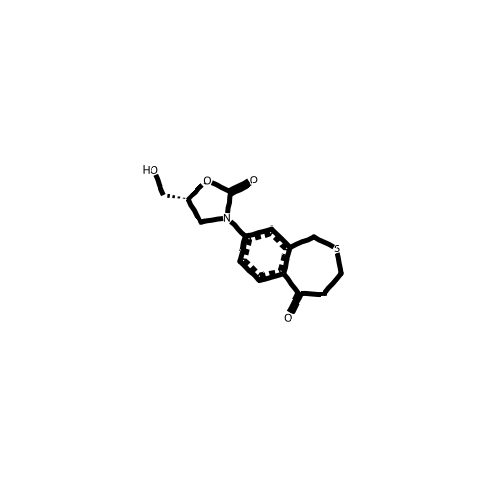 O=C1CCSCc2cc(N3C[C@H](CO)OC3=O)ccc21